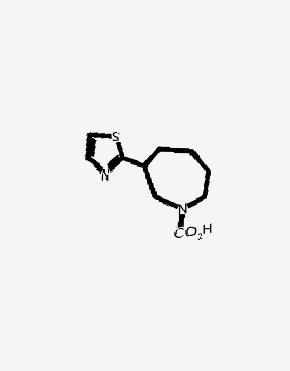 O=C(O)N1CCCCC(c2nccs2)C1